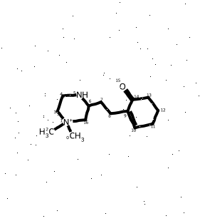 C[N+]1(C)CCNC(CCC2=CCCCC2=O)C1